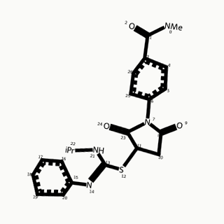 CNC(=O)c1ccc(N2C(=O)CC(S/C(=N/c3ccccc3)NC(C)C)C2=O)cc1